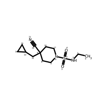 CCNS(=O)(=O)N1CCC(C#N)(CC2CC2)CC1